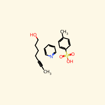 CC#CCCCCO.Cc1ccc(S(=O)(=O)O)cc1.c1ccncc1